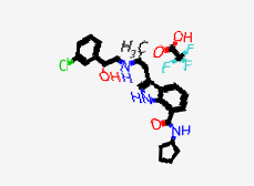 C[C@H](Cc1c[nH]c2c(C(=O)NC3CCCC3)cccc12)NC[C@H](O)c1cccc(Cl)c1.O=C(O)C(F)(F)F